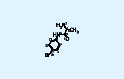 CC(N)C(=O)Nc1ccc(Br)cc1